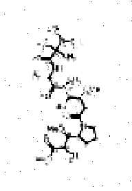 CC[C@H](C)[C@@H]([C@@H](CC(=O)N1CCC[C@H]1C(OC)C(C)C(=O)OC)OC)N(C)C(=O)[C@@H](NC(=O)C(C)(C)N(C)C)C(C)C